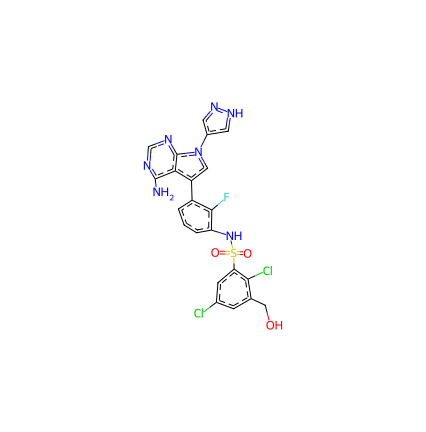 Nc1ncnc2c1c(-c1cccc(NS(=O)(=O)c3cc(Cl)cc(CO)c3Cl)c1F)cn2-c1cn[nH]c1